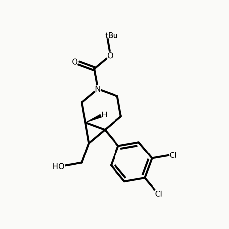 CC(C)(C)OC(=O)N1CCC2(c3ccc(Cl)c(Cl)c3)C(CO)[C@@H]2C1